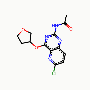 CC(=O)Nc1nc(OC2CCOC2)c2nc(Cl)ccc2n1